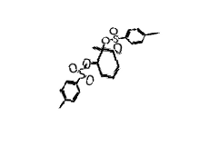 Cc1ccc(S(=O)(=O)OC2CCCCC2(C)OS(=O)(=O)c2ccc(C)cc2)cc1